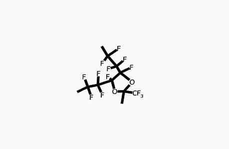 CC(F)(F)C(F)(F)C1(F)OC(C)(C(F)(F)F)OC1(F)C(F)(F)C(C)(F)F